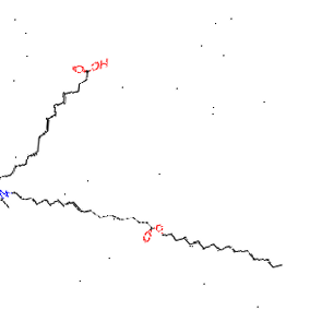 CCCCCCCCCCCCCCCCOC(=O)CCCCCCCC=CCCCCCCCCN1C(CCCCCCCC=CCCCCCCCC(=O)O)=NCC1C